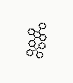 c1ccc(-c2c3ccccc3c(-c3cccc([Si](c4ccccc4)(c4ccccc4)c4ccccc4)c3)c3ccccc23)cc1